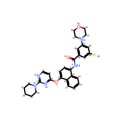 O=C(Nc1ccc(Oc2ccnc(N3CCCCC3)n2)c2ccccc12)c1cc(F)cc(N2CCOCC2)c1